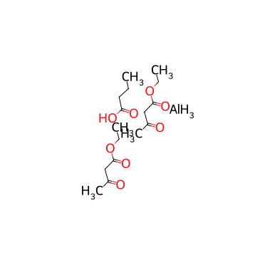 CCCC(=O)O.CCOC(=O)CC(C)=O.CCOC(=O)CC(C)=O.[AlH3]